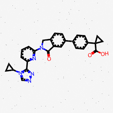 O=C1c2cc(-c3ccc(C4(C(=O)O)CC4)cc3)ccc2CN1c1cccc(-c2nncn2C2CC2)n1